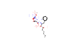 CCCCCC(O)C(O)C(Cc1ccccc1)NC(=O)c1coc(NS(C)(=O)=O)n1